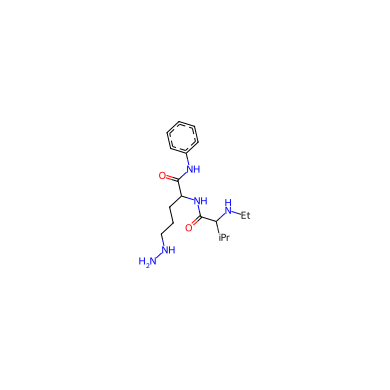 CCNC(C(=O)NC(CCCNN)C(=O)Nc1ccccc1)C(C)C